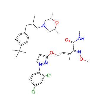 CC(Cc1ccc(C(C)(C)C)cc1)CN1C[C@@H](C)O[C@@H](C)C1.CNC(=O)C(=N/OC)/C(C)=C/COc1ccn(-c2ccc(Cl)cc2Cl)n1